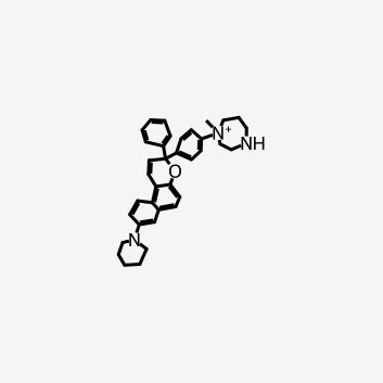 C[N+]1(c2ccc(C3(c4ccccc4)C=Cc4c(ccc5cc(N6CCCCC6)ccc45)O3)cc2)CCCNCC1